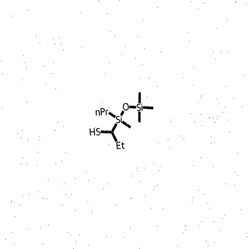 CCC[Si](C)(O[Si](C)(C)C)C(S)CC